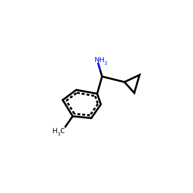 Cc1ccc(C(N)C2CC2)cc1